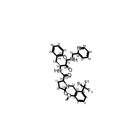 COc1cccc(C(F)(F)F)c1CN1C(=O)CCC1C(=O)N[C@@H](Cc1ccccc1)C(=O)C(=O)NCc1ccccn1